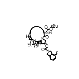 CCOC(=O)[C@@]12C[C@H]1C=CCCCCC[C@H](NC(=O)OC(C)(C)C)C(=O)N1C[C@H](OC(=O)N3Cc4cccc(F)c4C3)C[C@H]1C(=O)N2C(=O)CC